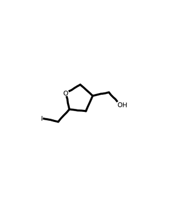 OCC1COC(CI)C1